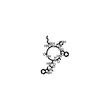 CCCCC(=O)NC1CCC(=O)NCCC(C(=O)N[C@@H](Cc2c[nH]c3ccccc23)C(=O)NC)NC(=O)C(C)NC(=O)C(Cc2ccccc2)NC(=O)[C@H](Cc2c[nH]cn2)NC1=O